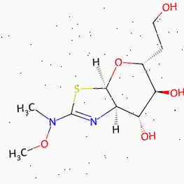 CON(C)C1=N[C@@H]2[C@@H](O)[C@H](O)[C@@H](CCO)O[C@@H]2S1